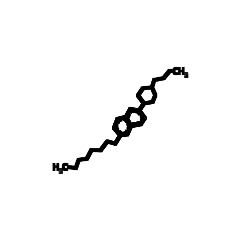 CCCCCCCCc1ccc2cc(C3CCC(CCCC)CC3)ccc2c1